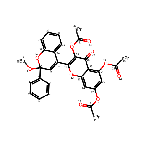 CCCCOC1(c2cc[c]cc2)C=C(c2oc3cc(OC(=O)CCC)cc(OC(=O)CCC)c3c(=O)c2OC(=O)CCC)c2ccccc2O1